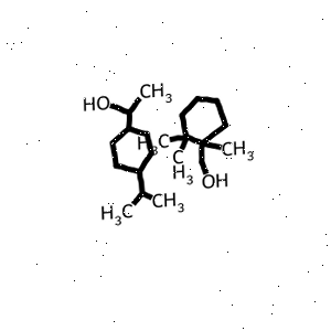 CC(C)C1CCC(C(C)O)CC1.CC1(C)CCCCC1(C)CO